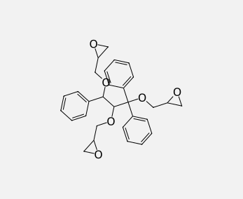 c1ccc(C(OCC2CO2)C(OCC2CO2)C(OCC2CO2)(c2ccccc2)c2ccccc2)cc1